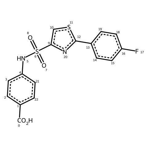 O=C(O)c1ccc(NS(=O)(=O)c2csc(-c3ccc(F)cc3)n2)cc1